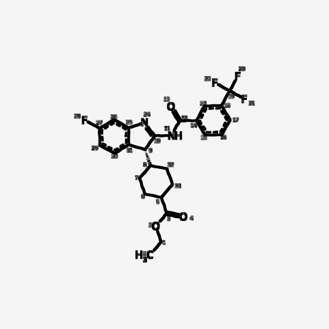 CCOC(=O)C1CCC([C@H]2C(NC(=O)c3cccc(C(F)(F)F)c3)=Nc3cc(F)ccc32)CC1